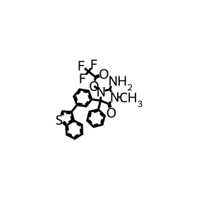 CN1C(=O)C(c2ccccc2)(c2cccc(-c3csc4ccccc34)c2)N(OC(=O)C(F)(F)F)C1N